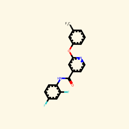 O=C(Nc1ccc(F)cc1F)c1ccnc(Oc2cccc(C(F)(F)F)c2)c1